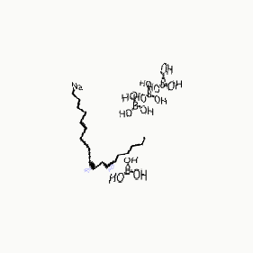 CCCCC/C=C\C/C=C\CCCCCCC[CH2][Na].OB(O)O.OB(O)O.OB(O)O.OB(O)O